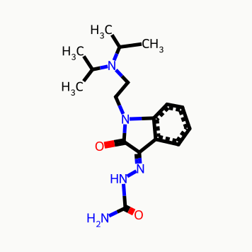 CC(C)N(CCN1C(=O)C(=NNC(N)=O)c2ccccc21)C(C)C